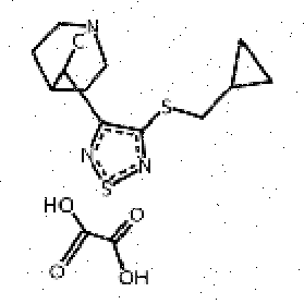 C1CC1CSc1nsnc1C1CN2CCC1CC2.O=C(O)C(=O)O